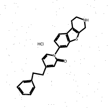 Cl.O=c1cc(CCc2ccccc2)ccn1-c1ccc2c3c(sc2c1)CNCC3